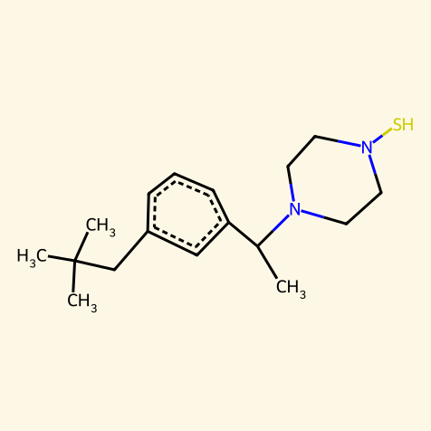 CC(c1cccc(CC(C)(C)C)c1)N1CCN(S)CC1